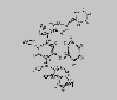 Cl.O=C(c1ccc(C(=O)N2CCC(N3CCCCC3)CC2)cc1)c1c(Cc2ccccc2)nc2[nH]ccn2c1=O